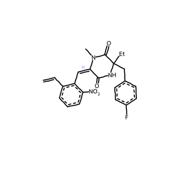 C=Cc1cccc([N+](=O)[O-])c1/C=C1\C(=O)NC(CC)(Cc2ccc(F)cc2)C(=O)N1C